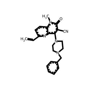 C=Cc1ccc2c(n1)c(N1CCN(Cc3ccccc3)CC1)c(C#N)c(=O)n2C